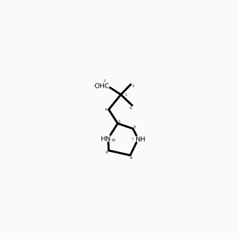 CC(C)([C]=O)CC1CNCCN1